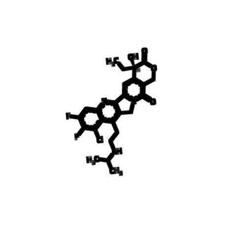 CC[C@@]1(O)C(=O)OCc2c1cc1n(c2=O)Cc2c-1nc1cc(F)c(F)c(Cl)c1c2CCNC(C)C